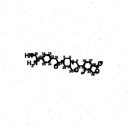 Cc1c(C2CN3CCN(C(=O)Cc4ccc(N(N)C=N)cc4)CC3CO2)ccc2c1COC2=O